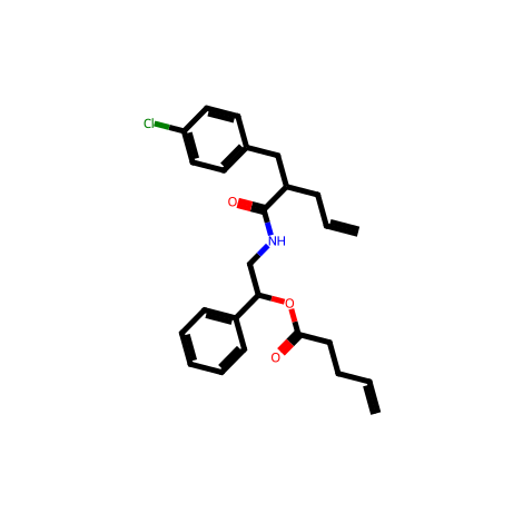 C=CCCC(=O)OC(CNC(=O)C(CC=C)Cc1ccc(Cl)cc1)c1ccccc1